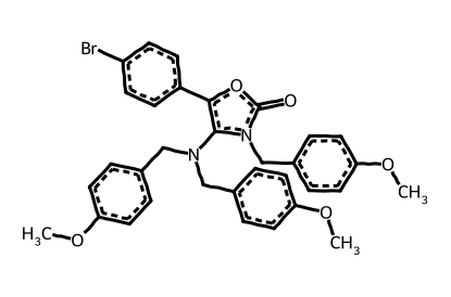 COc1ccc(CN(Cc2ccc(OC)cc2)c2c(-c3ccc(Br)cc3)oc(=O)n2Cc2ccc(OC)cc2)cc1